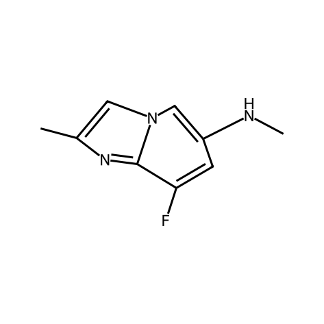 CNc1cc(F)c2nc(C)cn2c1